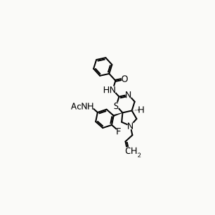 C=CCN1C[C@@H]2CN=C(NC(=O)c3ccccc3)S[C@@]2(c2cc(NC(C)=O)ccc2F)C1